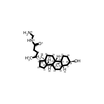 CC(CCC(=O)NCN)[C@H]1CC[C@H]2[C@@H]3CC[C@@H]4C[C@H](O)CC[C@]4(C)[C@H]3CC[C@]12C